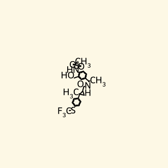 CC(NC(=O)C1CC1(C)c1ccc(SC(F)(F)F)cc1)c1ccc(NS(C)(=O)=O)c(CO)c1